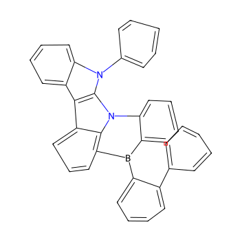 c1ccc(-c2ccccc2B2c3ccccc3-n3c4c2cccc4c2c4ccccc4n(-c4ccccc4)c23)cc1